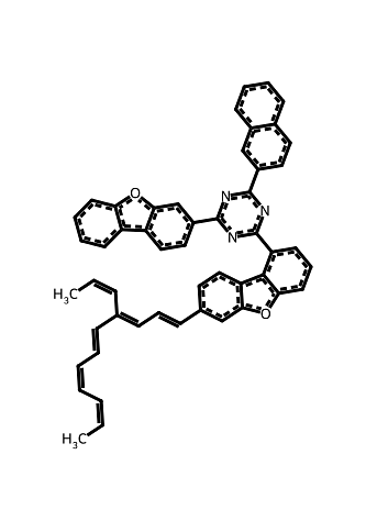 C/C=C\C=C/C=C/C(/C=C\C)=C/C=C/c1ccc2c(c1)oc1cccc(-c3nc(-c4ccc5ccccc5c4)nc(-c4ccc5c(c4)oc4ccccc45)n3)c12